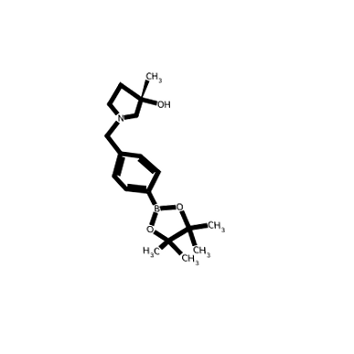 CC1(C)OB(c2ccc(CN3CC[C@](C)(O)C3)cc2)OC1(C)C